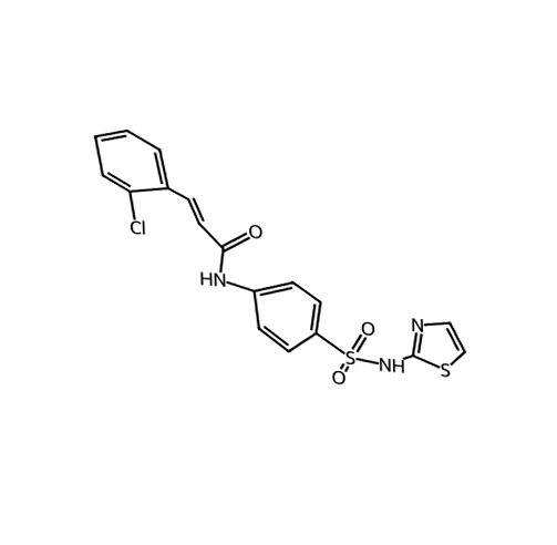 O=C(/C=C/c1ccccc1Cl)Nc1ccc(S(=O)(=O)Nc2nccs2)cc1